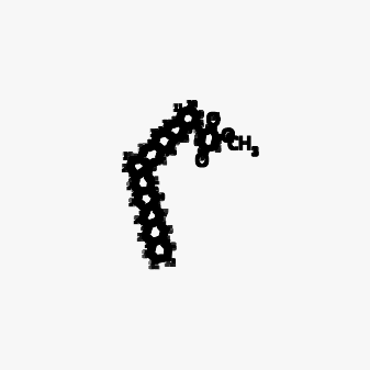 COC1=CC(=O)C=C(c2cccc3cc4cc5cc6ccc7cc8cc9cc%10cc%11ccccc%11cc%10cc9cc8cc7c6cc5cc4cc23)C1=O